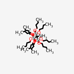 CCCCO[Si](OCCCC)(OCCCC)C([SiH3])([Si](OCCCC)(OCCCC)OCCCC)[Si](OCCCC)(OCCCC)OCCCC